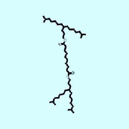 CC(C)CCCCCC(CCCCCC(C)C)CCCOC(=O)CCCCCCCCC(=O)OCCCC(CCCCCC(C)C)CCCCCC(C)C